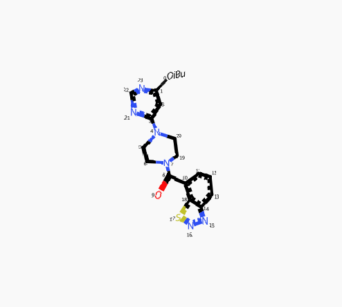 CC(C)COc1cc(N2CCN(C(=O)c3cccc4nnsc34)CC2)ncn1